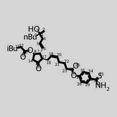 CCCC[C@](C)(O)C/C=C/[C@H]1[C@H](OC(=O)CC(C)CC)CC(=O)[C@@H]1C/C=C\CCCC(=O)Oc1ccc(C(N)=S)cc1